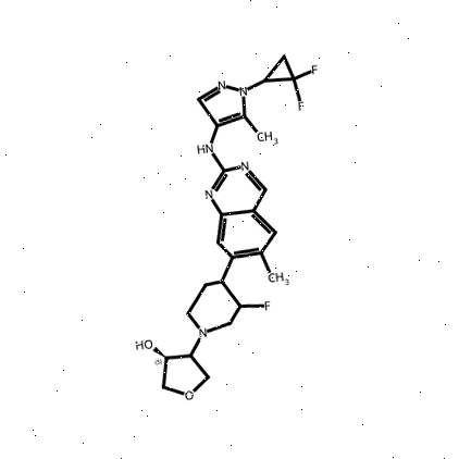 Cc1cc2cnc(Nc3cnn(C4CC4(F)F)c3C)nc2cc1C1CCN(C2COC[C@H]2O)CC1F